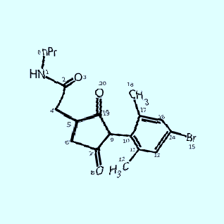 CCCNC(=O)CC1CC(=O)C(c2c(C)cc(Br)cc2C)C1=O